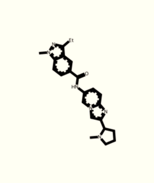 CCc1nn(C)c2ccc(C(=O)Nc3ccc4nc(C5CCCN5C)cn4c3)cc12